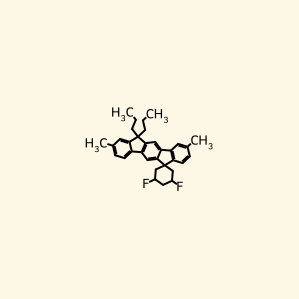 CCCC1(CCC)c2cc(C)ccc2-c2cc3c(cc21)-c1cc(C)ccc1C31CC(F)CC(F)C1